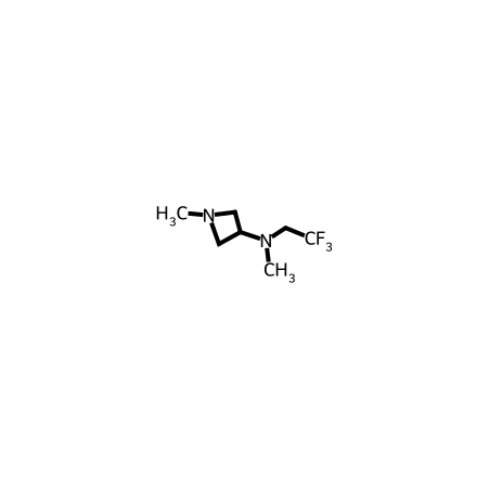 CN1CC(N(C)CC(F)(F)F)C1